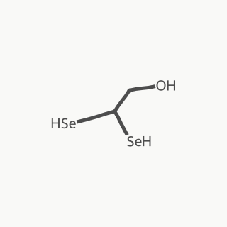 OCC([SeH])[SeH]